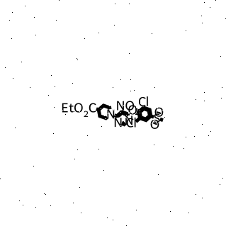 CCOC(=O)C1CCN(c2ncnc(Oc3c(Cl)cc(S(C)(=O)=O)cc3Cl)c2[N+](=O)[O-])CC1